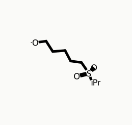 CC(C)S(=O)(=O)CCCCC[O]